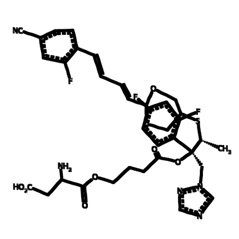 C[C@@H](SC1COC(C=CC=Cc2ccc(C#N)cc2F)OC1)[C@@](Cn1cncn1)(OC(=O)CCCOC(=O)C(N)CC(=O)O)c1ccc(F)cc1F